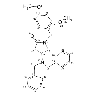 COc1ccc(CN2CC(N(Cc3ccccc3)Cc3ccccc3)CC2=O)c(OC)c1